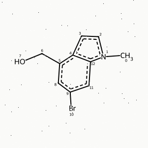 Cn1ccc2c(CO)cc(Br)cc21